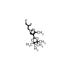 Cc1nn(CC(F)CF)cc1B1OC(C)(C)C(C)(C)O1